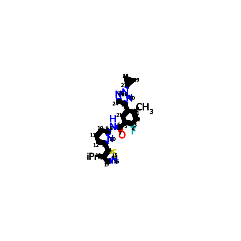 Cc1cc(F)c(C(=O)Nc2cccc(-c3sncc3C(C)C)n2)cc1-c1cnn(C2CC2)n1